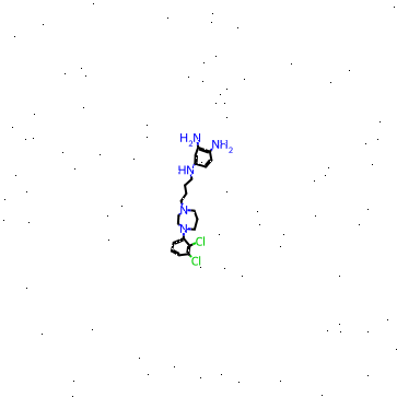 Nc1ccc(NCCCCN2CCCN(c3cccc(Cl)c3Cl)CC2)cc1N